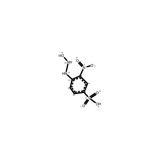 O=[N+]([O-])c1cc(S(=O)(=O)O)ccc1NNO